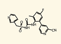 Cc1cc(F)cc(-c2ccnc(C#N)c2)c1NC(=O)NS(=O)(=O)Cc1cccnc1